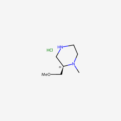 COC[C@H]1CNCCN1C.Cl